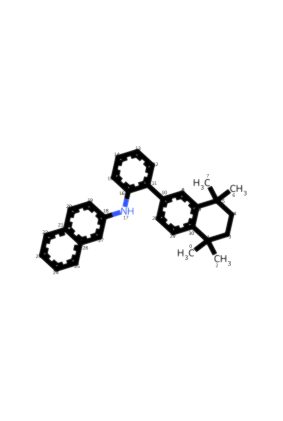 CC1(C)CCC(C)(C)c2cc(-c3ccccc3Nc3ccc4ccccc4c3)ccc21